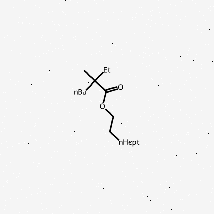 CCCCCCCCCOC(=O)C(C)(CC)CCCC